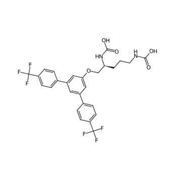 O=C(O)NCCC[C@@H](COc1cc(-c2ccc(C(F)(F)F)cc2)cc(-c2ccc(C(F)(F)F)cc2)c1)NC(=O)O